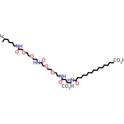 CC(=O)[C@@H](C)CCCCNC(=O)COCCOCCNC(=O)COCCOCCNC(=O)CC[C@H](NC(=O)CCCCCCCCCCCCCCC(=O)O)C(=O)O